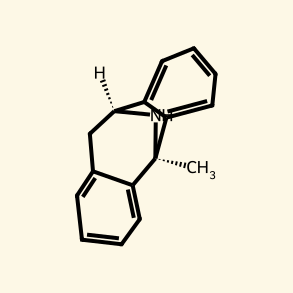 C[C@@]12N[C@@H](Cc3ccccc31)c1ccccc12